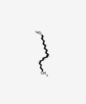 CCCC\C=C/C=C/C=C\CCCCCCCCO